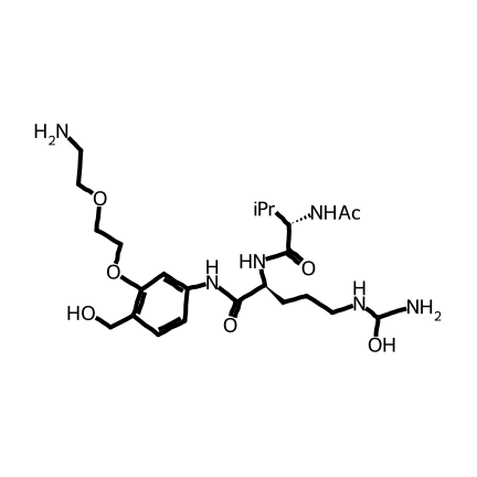 CC(=O)N[C@H](C(=O)N[C@@H](CCCNC(N)O)C(=O)Nc1ccc(CO)c(OCCOCCN)c1)C(C)C